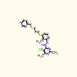 Cc1nc(C)c(Cl)c(NCc2nccc(SCCCSCc3ccccn3)c2C)n1